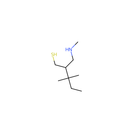 CCC(C)(C)C(CS)CNC